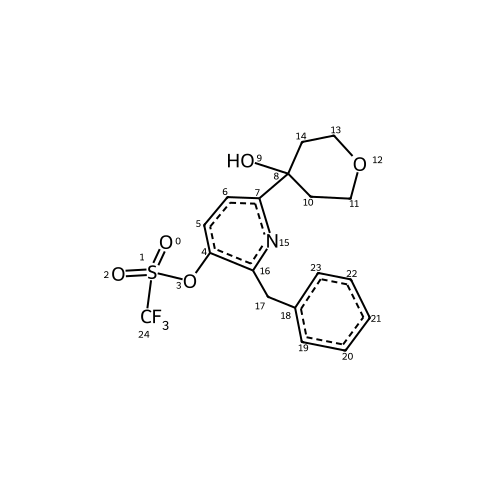 O=S(=O)(Oc1ccc(C2(O)CCOCC2)nc1Cc1ccccc1)C(F)(F)F